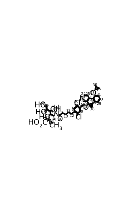 CN(CC(=O)O)C[C@H](NC(=O)CCCCc1cc(Cl)c(COC2(c3cnccc3-c3ccccc3OC3CC3)CC2)cc1Cl)[C@@H](O)[C@H](O)[C@H](O)CO